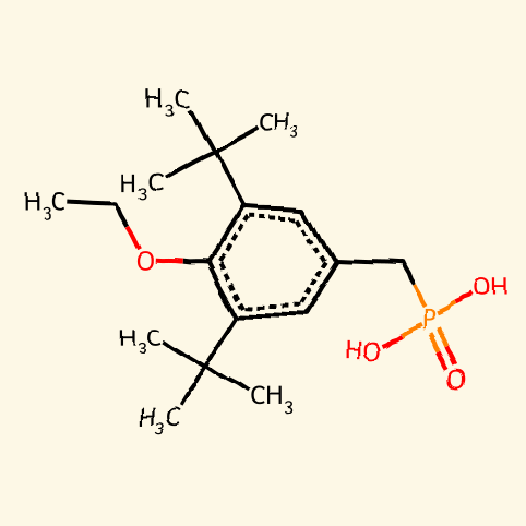 CCOc1c(C(C)(C)C)cc(CP(=O)(O)O)cc1C(C)(C)C